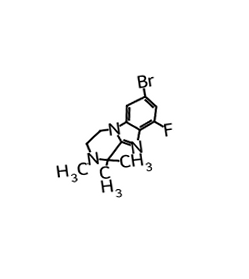 CN1CCn2c(nc3c(F)cc(Br)cc32)C1(C)C